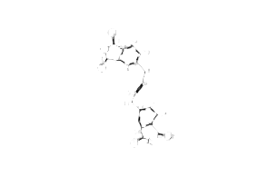 O=C1OC(=O)c2cc(CC#CCc3ccc4c(c3)C(=O)OC4=O)ccc21